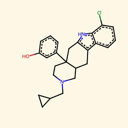 Oc1cccc(C23CCN(CC4CC4)CC2Cc2c([nH]c4c(Cl)cccc24)C3)c1